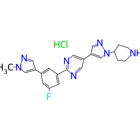 Cl.Cn1cc(-c2cc(F)cc(-c3ncc(-c4cnn(C5CCNCC5)c4)cn3)c2)cn1